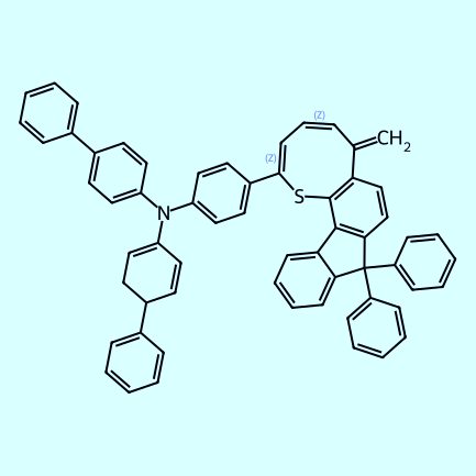 C=C1/C=C\C=C(\c2ccc(N(C3=CCC(c4ccccc4)C=C3)c3ccc(-c4ccccc4)cc3)cc2)Sc2c1ccc1c2-c2ccccc2C1(c1ccccc1)c1ccccc1